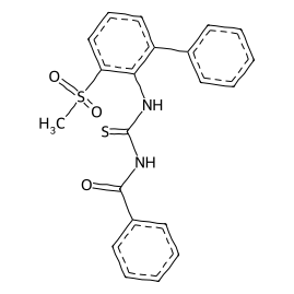 CS(=O)(=O)c1cccc(-c2ccccc2)c1NC(=S)NC(=O)c1ccccc1